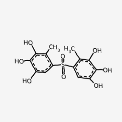 Cc1c(S(=O)(=O)c2cc(O)c(O)c(O)c2C)cc(O)c(O)c1O